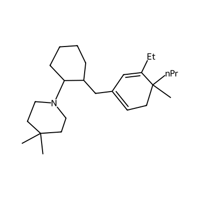 CCCC1(C)CC=C(CC2CCCCC2N2CCC(C)(C)CC2)C=C1CC